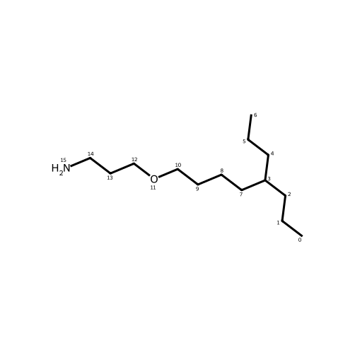 CCCC(CCC)CCCCOCCCN